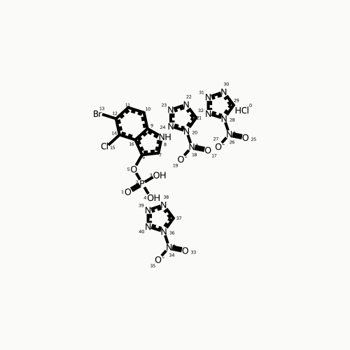 Cl.O=P(O)(O)Oc1c[nH]c2ccc(Br)c(Cl)c12.O=[N+]([O-])n1cnnn1.O=[N+]([O-])n1cnnn1.O=[N+]([O-])n1cnnn1